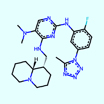 Cc1nnnn1-c1ccc(F)c(Nc2ncc(N(C)C)c(NC[C@@H]3CCCN4CCCC[C@H]34)n2)c1